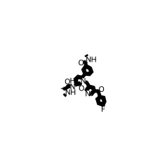 CNC(=O)c1cccc(-c2ccc(NC(=O)[C@@H](C)NC)c(=O)n2Cc2cncc(C(=O)c3ccc(F)cc3)c2)c1